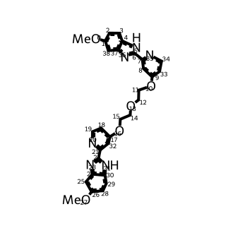 COc1ccc2[nH]c(-c3cc(OCCOCCOc4ccnc(-c5nc6cc(OC)ccc6[nH]5)c4)ccn3)nc2c1